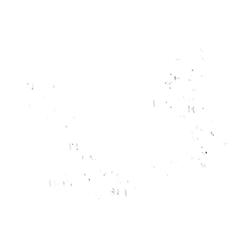 Cc1ncsc1-c1ccc(CNC(=O)[C@@H]2C[C@@H](O)CN2C(=O)C(NC(=O)CCCCCCCCC(=O)N2CCOC3(CCN(c4cc(-c5ccccc5O)nnc4N)CC3)C2)C(C)(C)C)cc1